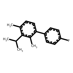 Cc1c[c]c(-c2ccc(F)cc2)c(C)c1C(C)C